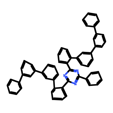 c1ccc(-c2cccc(-c3cccc(-c4ccccc4-c4nc(-c5ccccc5)nc(-c5ccccc5-c5cccc(-c6cccc(-c7ccccc7)c6)c5)n4)c3)c2)cc1